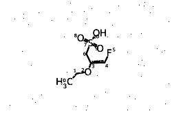 CCOC(=CF)CS(=O)(=O)O